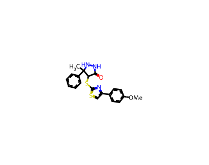 COc1ccc(-c2csc(SC3C(=O)NNC3(C)c3ccccc3)n2)cc1